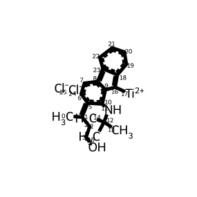 CC(CCO)=c1ccc2c(c1NC(C)(C)C)[C]([Ti+2])=c1ccccc1=2.[Cl-].[Cl-]